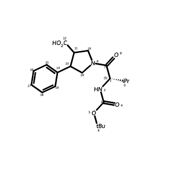 CC(C)[C@H](NC(=O)OC(C)(C)C)C(=O)N1CC(C(=O)O)C(c2ccccc2)C1